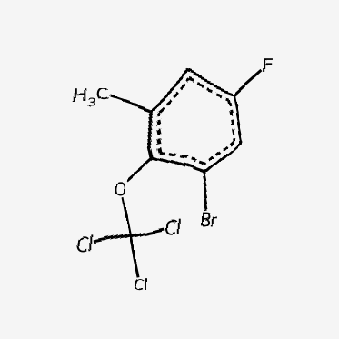 Cc1cc(F)cc(Br)c1OC(Cl)(Cl)Cl